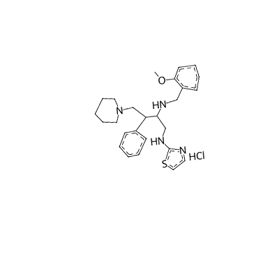 COc1ccccc1CNC(CNc1nccs1)C(CN1CCCCC1)c1ccccc1.Cl